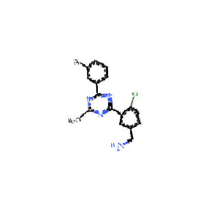 COc1nc(-c2cccc(C(C)C)c2)nc(-c2cc(CN)ccc2Cl)n1